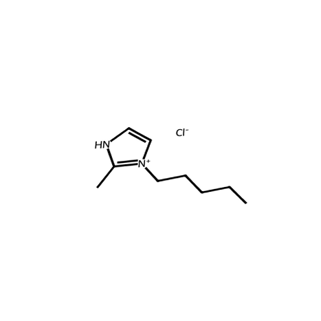 CCCCC[n+]1cc[nH]c1C.[Cl-]